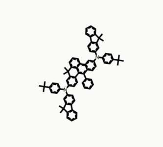 CC(C)(C)c1ccc(N(c2ccc3c(c2)C(C)(C)c2ccccc2-3)c2ccc3c(c2)C(C)(C)c2cccc4c2c-3c(-c2ccccc2)c2ccc(N(c3ccc(C(C)(C)C)cc3)c3ccc5c(c3)C(C)(C)c3ccccc3-5)cc24)cc1